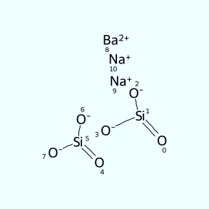 O=[Si]([O-])[O-].O=[Si]([O-])[O-].[Ba+2].[Na+].[Na+]